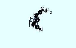 N#Cc1ccc(N2C[C@@H]3C[C@H](N[C@@H]4CCCC[C@H]4Nc4ncc(-c5ccc(C(N)=O)cc5)o4)[C@H]2C3)cc1